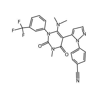 CN(C)c1c(-c2ccnn2-c2ccc(C#N)cc2)c(=O)n(C)c(=O)n1-c1cccc(C(F)(F)F)c1